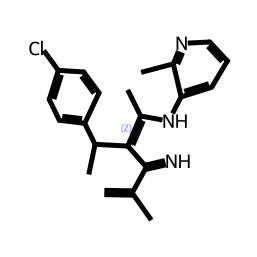 C=C(C)C(=N)/C(=C(/C)Nc1cccnc1C)C(C)c1ccc(Cl)cc1